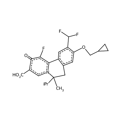 CC(C)C1(C)Cc2cc(OCC3CC3)c(C(F)F)cc2-c2c(F)c(=O)c(C(=O)O)cn21